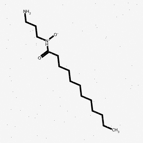 CCCCCCCCCCCC(=O)[NH+]([O-])CCCN